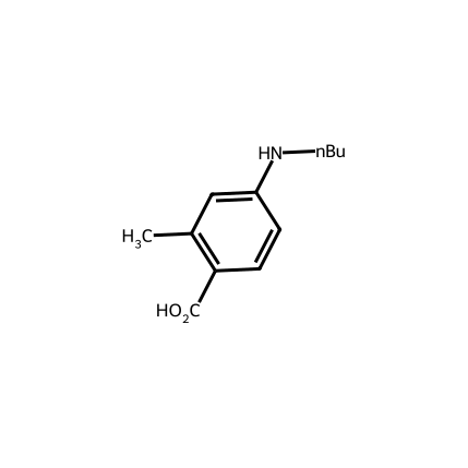 CCCCNc1ccc(C(=O)O)c(C)c1